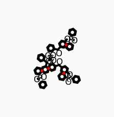 O=C(c1ccc(OP(=O)(c2ccccc2)c2ccccc2)cc1)c1ccccc1OP(=O)(Oc1ccccc1C(=O)c1ccc(OP(=O)(c2ccccc2)c2ccccc2)cc1)Oc1ccccc1C(=O)c1ccc(OP(=O)(c2ccccc2)c2ccccc2)cc1